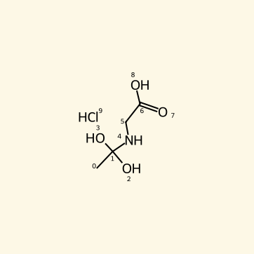 CC(O)(O)NCC(=O)O.Cl